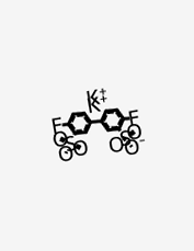 O=S(=O)([O-])c1cc(-c2ccc(F)c(S(=O)(=O)[O-])c2)ccc1F.[K+].[K+]